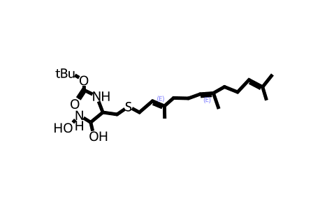 CC(C)=CCC/C(C)=C/CC/C(C)=C/CSCC(NC(=O)OC(C)(C)C)C(O)NO